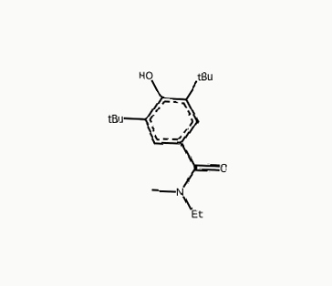 CCN(C)C(=O)c1cc(C(C)(C)C)c(O)c(C(C)(C)C)c1